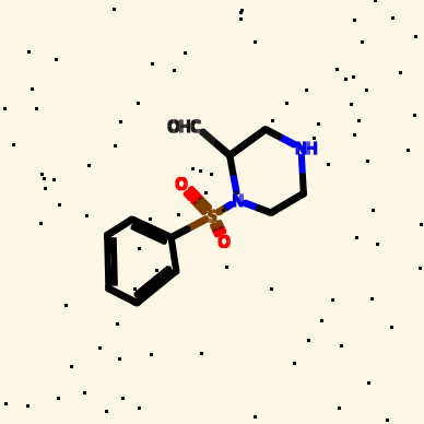 O=CC1CNCCN1S(=O)(=O)c1ccccc1